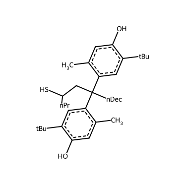 CCCCCCCCCCC(CC(S)CCC)(c1cc(C(C)(C)C)c(O)cc1C)c1cc(C(C)(C)C)c(O)cc1C